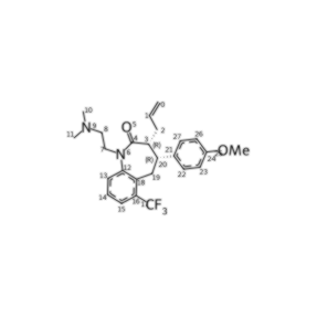 C=CC[C@H]1C(=O)N(CCN(C)C)c2cccc(C(F)(F)F)c2C[C@H]1c1ccc(OC)cc1